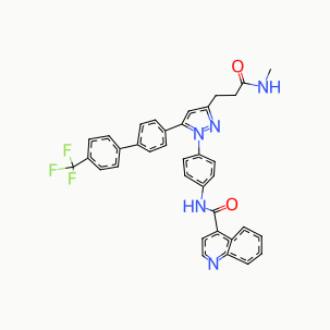 CNC(=O)CCc1cc(-c2ccc(-c3ccc(C(F)(F)F)cc3)cc2)n(-c2ccc(NC(=O)c3ccnc4ccccc34)cc2)n1